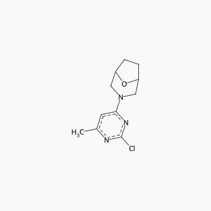 Cc1cc(N2CC3CCC(C2)O3)nc(Cl)n1